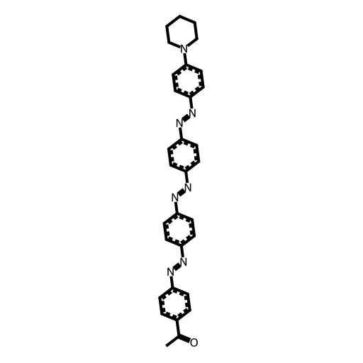 CC(=O)c1ccc(N=Nc2ccc(N=Nc3ccc(N=Nc4ccc(N5CCCCC5)cc4)cc3)cc2)cc1